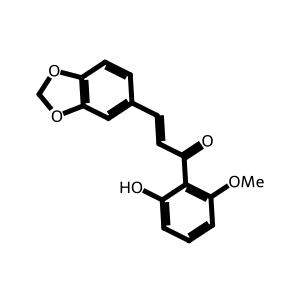 COc1cccc(O)c1C(=O)C=Cc1ccc2c(c1)OCO2